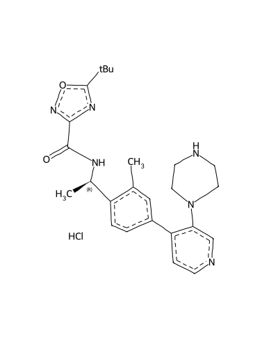 Cc1cc(-c2ccncc2N2CCNCC2)ccc1[C@@H](C)NC(=O)c1noc(C(C)(C)C)n1.Cl